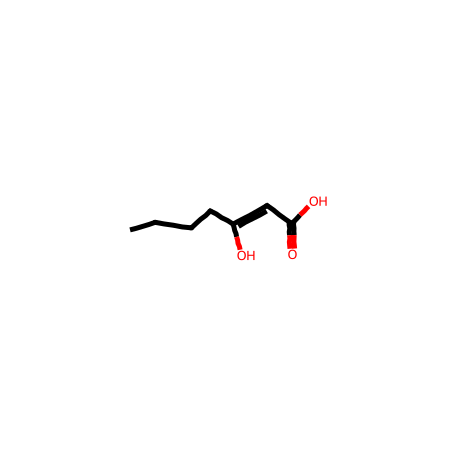 CCCC/C(O)=C/C(=O)O